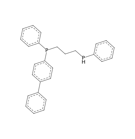 c1ccc(PCCCP(c2ccccc2)c2ccc(-c3ccccc3)cc2)cc1